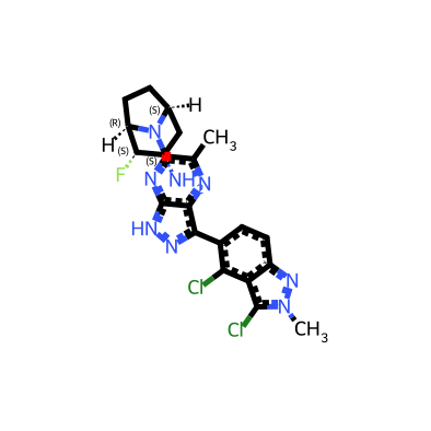 Cc1nc2c(-c3ccc4nn(C)c(Cl)c4c3Cl)n[nH]c2nc1N1[C@H]2CC[C@@H]1[C@@H](F)[C@@H](N)C2